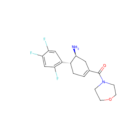 N[C@H]1CC(C(=O)N2CCOCC2)=CC[C@@H]1c1cc(F)c(F)cc1F